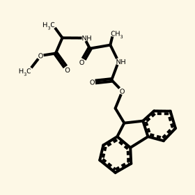 COC(=O)C(C)NC(=O)C(C)NC(=O)OCC1c2ccccc2-c2ccccc21